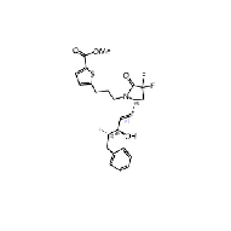 COC(=O)c1ccc(CCCN2C(=O)C(F)(F)C[C@@H]2/C=C/[C@@H](O)[C@@H](C)Cc2ccccc2)s1